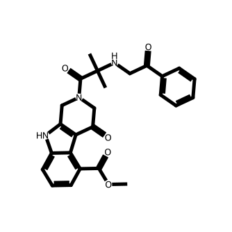 COC(=O)c1cccc2[nH]c3c(c12)C(=O)CN(C(=O)C(C)(C)NCC(=O)c1ccccc1)C3